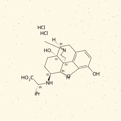 CC(C)[C@@H](N[C@H]1CC[C@@]2(O)[C@H]3Cc4ccc(O)c5c4[C@@]2(CCN3C)[C@H]1O5)C(=O)O.Cl.Cl